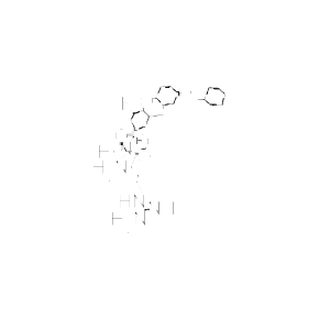 N=C(N)NCCC[C@H](N)C(=O)N(O)S(=O)(=O)c1cc(F)c(Oc2ccc(OCc3ccccc3)cc2)c(F)c1